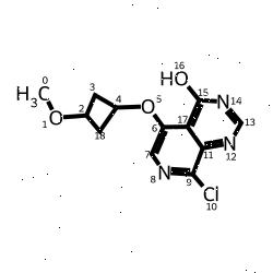 COC1CC(Oc2cnc(Cl)c3ncnc(O)c23)C1